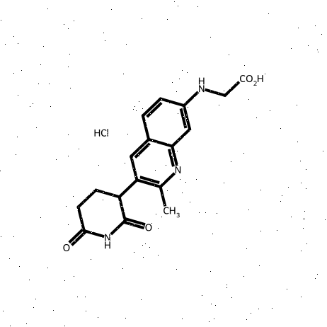 Cc1nc2cc(NCC(=O)O)ccc2cc1C1CCC(=O)NC1=O.Cl